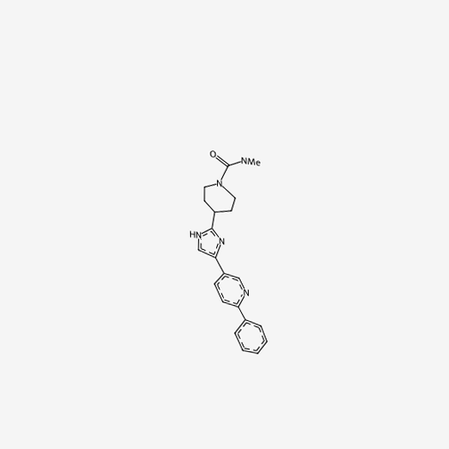 CNC(=O)N1CCC(c2nc(-c3ccc(-c4ccccc4)nc3)c[nH]2)CC1